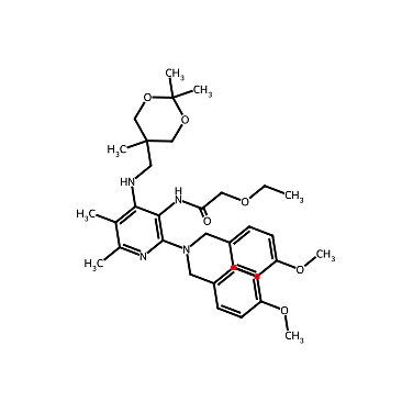 CCOCC(=O)Nc1c(N(Cc2ccc(OC)cc2)Cc2ccc(OC)cc2)nc(C)c(C)c1NCC1(C)COC(C)(C)OC1